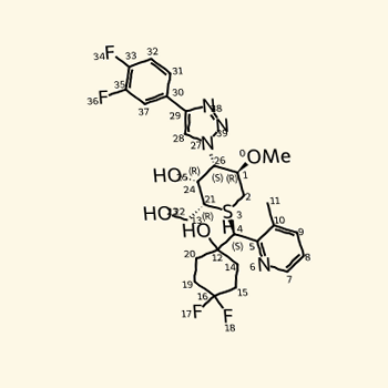 CO[C@H]1C[SH]([C@@H](c2ncccc2C)C2(O)CCC(F)(F)CC2)[C@H](CO)[C@H](O)[C@@H]1n1cc(-c2ccc(F)c(F)c2)nn1